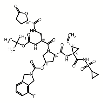 C=C[C@@H]1C[C@]1(NC(=O)[C@@H]1C[C@@H](OC(=O)N2Cc3cccc(F)c3C2)CN1C(=O)[C@H](CNC(=O)[C@@H]1CCC(=O)O1)NC(=O)OC(C)(C)C)C(=O)NS(=O)(=O)C1CC1